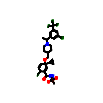 CC(c1cc(Cl)cc(C(F)(F)F)c1)N1CCC(COC2(C3CC3)C=CC(F)C(C(=O)NS(C)(=O)=O)=C2)CC1